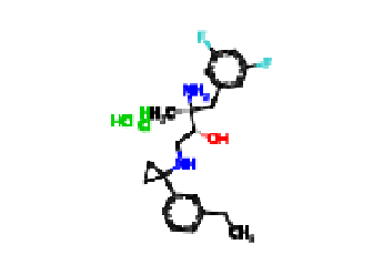 CCc1cccc(C2(NC[C@@H](O)[C@@](C)(N)Cc3cc(F)cc(F)c3)CC2)c1.Cl.Cl